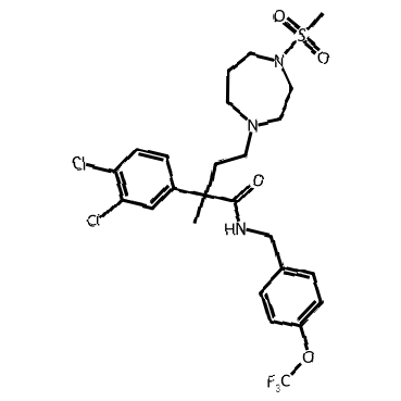 CC(CCN1CCCN(S(C)(=O)=O)CC1)(C(=O)NCc1ccc(OC(F)(F)F)cc1)c1ccc(Cl)c(Cl)c1